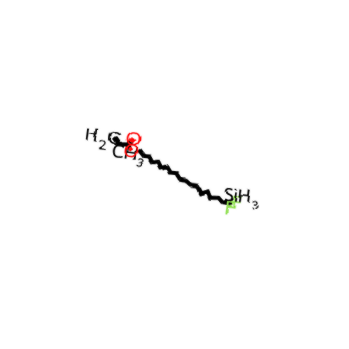 C=C(C)C(=O)OCCCCCCCCCCCCCCCCCCC(F)(F)[SiH3]